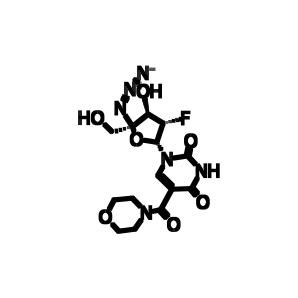 [N-]=[N+]=N[C@]1(CO)O[C@@H](n2cc(C(=O)N3CCOCC3)c(=O)[nH]c2=O)[C@@H](F)[C@@H]1O